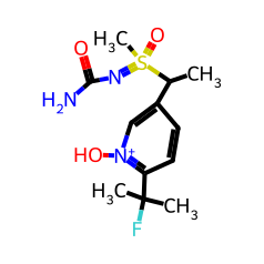 CC(c1ccc(C(C)(C)F)[n+](O)c1)S(C)(=O)=NC(N)=O